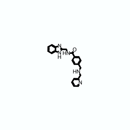 O=C(NCc1nc2ccccc2[nH]1)c1ccc(CNCc2ccccn2)cc1